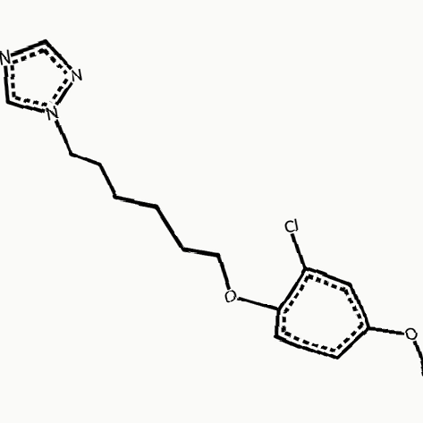 COc1ccc(OCCCCCCn2cncn2)c(Cl)c1